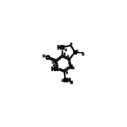 CN1CNc2c1nc(N)[nH]c2=O